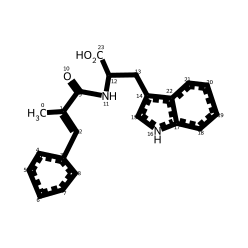 CC(=Cc1ccccc1)C(=O)NC(Cc1c[nH]c2ccccc12)C(=O)O